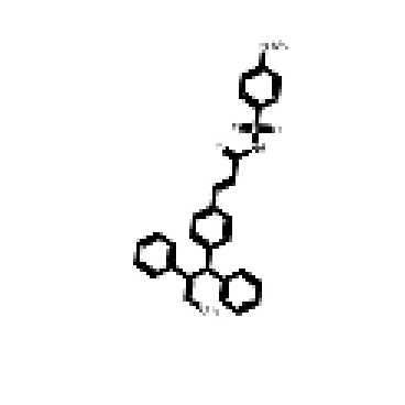 CC=C(c1ccccc1)C(c1ccccc1)c1ccc(C=CC(=O)NS(=O)(=O)c2ccc(NC(C)=O)cc2)cc1